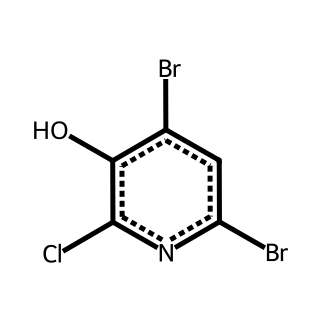 Oc1c(Br)cc(Br)nc1Cl